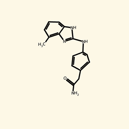 Cc1cccc2[nH]c(Nc3ccc(CC(N)=O)cc3)nc12